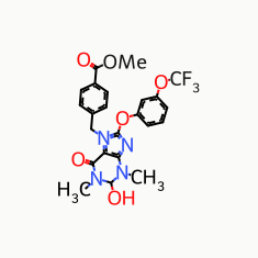 COC(=O)c1ccc(Cn2c(Oc3cccc(OC(F)(F)F)c3)nc3c2C(=O)N(C)C(O)N3C)cc1